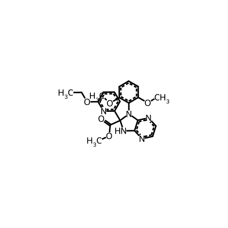 CCOc1cccc(C2(C(=O)OC)Nc3nccnc3N2c2c(OC)cccc2OC)n1